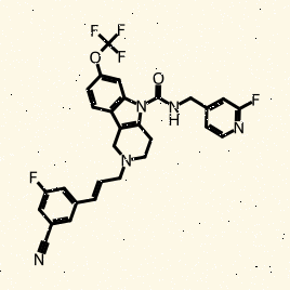 N#Cc1cc(F)cc(C=CCN2CCc3c(c4ccc(OC(F)(F)F)cc4n3C(=O)NCc3ccnc(F)c3)C2)c1